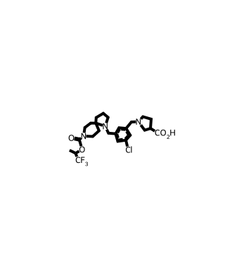 CC(OC(=O)N1CCC2(CCCN2Cc2cc(Cl)cc(CN3CCC(C(=O)O)C3)c2)CC1)C(F)(F)F